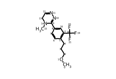 COCCCc1ccc(C2=NN=CCN2C)cc1C(F)(F)F